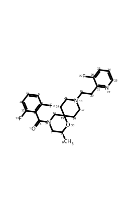 C[C@H]1CN(C(=O)c2c(F)cccc2F)CC2(CCN(CCc3ncccc3F)CC2)O1